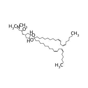 CCCCC/C=C\C/C=C\CCCCCCCCC1(CCCCCCCC/C=C\C/C=C\CCCCC)O[C@H]2C[C@H](CC(=O)CN(C)C)C[C@H]2O1